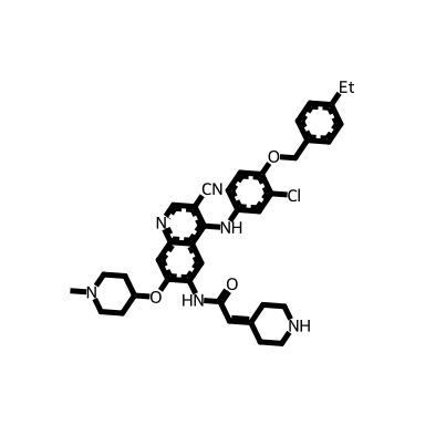 CCc1ccc(COc2ccc(Nc3c(C#N)cnc4cc(OC5CCN(C)CC5)c(NC(=O)C=C5CCNCC5)cc34)cc2Cl)cc1